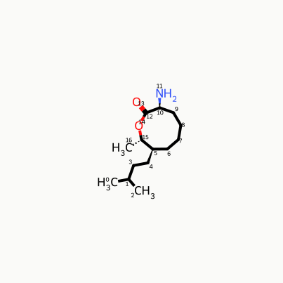 CC(C)CC[C@@H]1CCCC[C@H](N)C(=O)O[C@H]1C